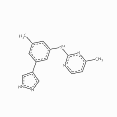 Cc1cc(Nc2nccc(C)n2)cc(-c2cn[nH]c2)c1